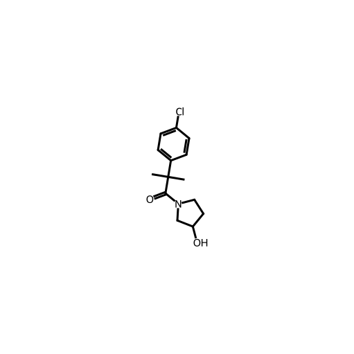 CC(C)(C(=O)N1CCC(O)C1)c1ccc(Cl)cc1